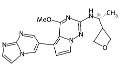 COc1nc(N[C@H](C)C2COC2)nn2ccc(-c3cnc4nccn4c3)c12